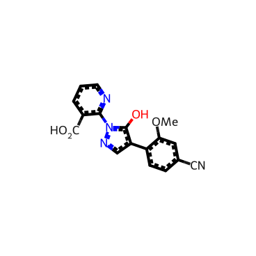 COc1cc(C#N)ccc1-c1cnn(-c2ncccc2C(=O)O)c1O